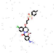 COc1cc(N)ccc1C(=O)N1CCCC(OCCCOS(=O)(=O)c2ccc(C)cc2)c2cc(Cl)ccc21